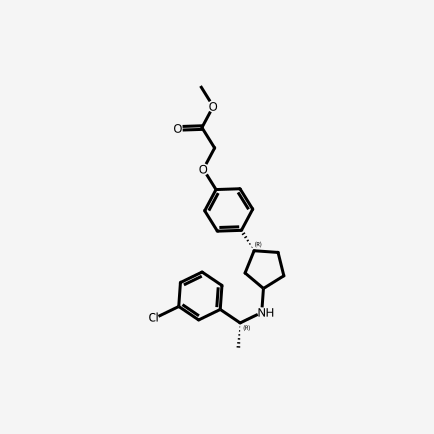 COC(=O)COc1ccc([C@@H]2CCC(N[C@H](C)c3cccc(Cl)c3)C2)cc1